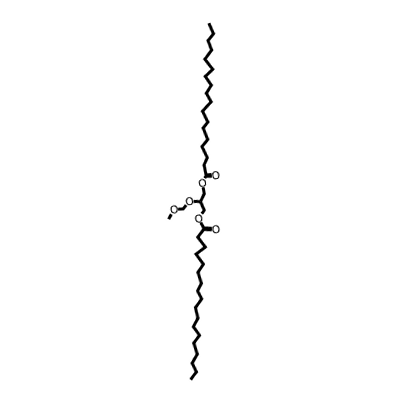 CCCCCCCCCCCCCCCCCC(=O)OCC(COC(=O)CCCCCCCCCCCCCCCCC)OCOC